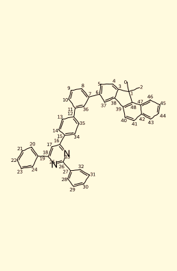 CC1(C)c2ccc(-c3cccc(-c4ccc(-c5cc(-c6ccccc6)nc(-c6ccccc6)n5)cc4)c3)cc2-c2ccc3ccccc3c21